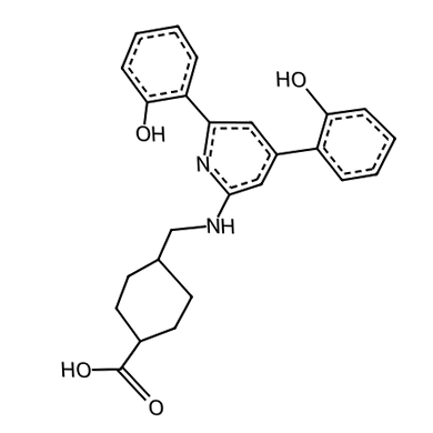 O=C(O)C1CCC(CNc2cc(-c3ccccc3O)cc(-c3ccccc3O)n2)CC1